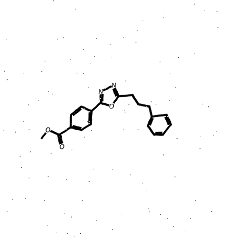 COC(=O)c1ccc(-c2nnc(CCCc3ccccc3)o2)cc1